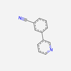 N#Cc1cccc(-c2cccnc2)c1